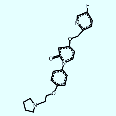 O=c1cc(OCc2ccc(F)cn2)ccn1-c1ccc(OCCN2CCCC2)cc1